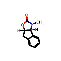 CN1C(=O)O[C@H]2Cc3ccccc3[C@H]21